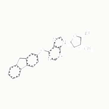 CC[C@H]1O[C@@H](n2cnc3c(Oc4ccc5c(c4)Cc4ccccc4-5)ncnc32)C[C@H]1C